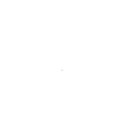 C[C@H]1C(C(=O)NN2CCCCC2)=NN(c2ccc(Cl)cc2Cl)[C@H]1c1ccc(F)cc1.Cl